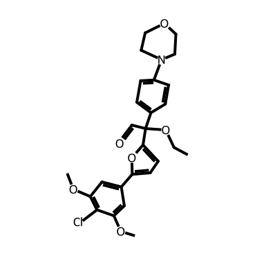 CCOC(C=O)(c1ccc(N2CCOCC2)cc1)c1ccc(-c2cc(OC)c(Cl)c(OC)c2)o1